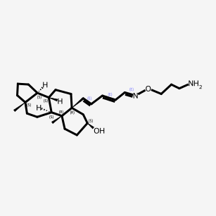 C[C@@]12CCC[C@H]1[C@@H]1CC[C@]3(/C=C/C=C/C=N/OCCCN)C[C@@H](O)CC[C@]3(C)[C@H]1CC2